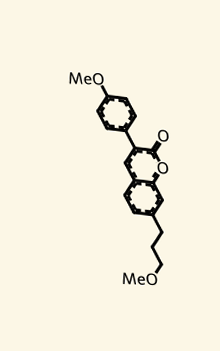 COCCCc1ccc2cc(-c3ccc(OC)cc3)c(=O)oc2c1